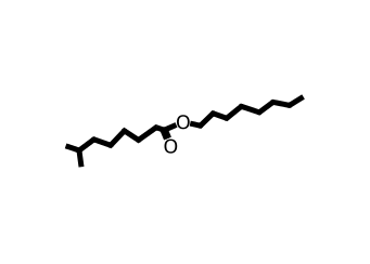 CCCCCCCCOC(=O)CCCCCC(C)C